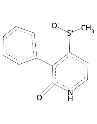 C[S+]([O-])c1cc[nH]c(=O)c1-c1ccccc1